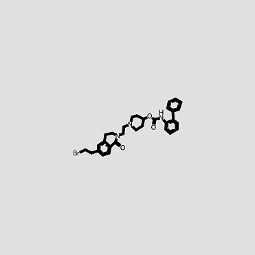 O=C(Nc1ccccc1-c1ccccc1)OC1CCN(CCN2CCc3cc(CCBr)ccc3C2=O)CC1